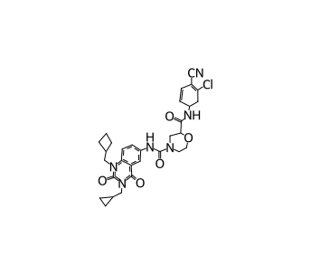 N#CC1=C(Cl)CC(NC(=O)C2CN(C(=O)Nc3ccc4c(c3)c(=O)n(CC3CC3)c(=O)n4CC3CCC3)CCO2)C=C1